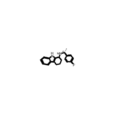 C[C@@H](NC1CCCc2c1[nH]c1ccccc21)c1ccc(F)cc1